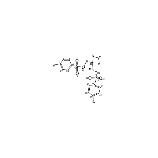 Cc1ccc(S(=O)(=O)OCC2(COS(=O)(=O)c3ccc(C)cc3)CCC2)cc1